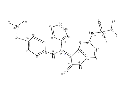 CC(C)S(=O)(=O)Nc1ccc2c(c1)/C(=C(/Nc1ccc(CN(C)C)cc1)c1ccccc1)C(=O)N2